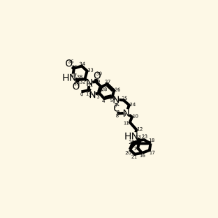 Cc1nc2cc(N3CCN(CCCNC45CC6CC(CC(C6)C4)C5)CC3)ccc2c(=O)n1C1CCC(=O)NC1=O